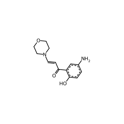 Nc1ccc(O)c(C(=O)C=CN2CCOCC2)c1